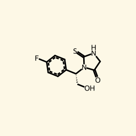 O=C1CNC(=S)N1[C@H](CO)c1ccc(F)cc1